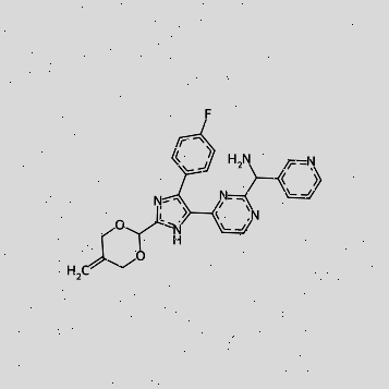 C=C1COC(c2nc(-c3ccc(F)cc3)c(-c3ccnc(C(N)c4cccnc4)n3)[nH]2)OC1